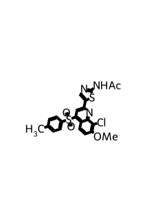 COc1ccc2c(S(=O)(=O)c3ccc(C)cc3)cc(-c3cnc(NC(C)=O)s3)nc2c1Cl